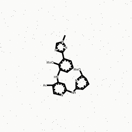 COc1cccc(Nc2cc(Nc3cccc(-c4ncn(C)n4)c3OC)c(C(C)=O)cn2)n1